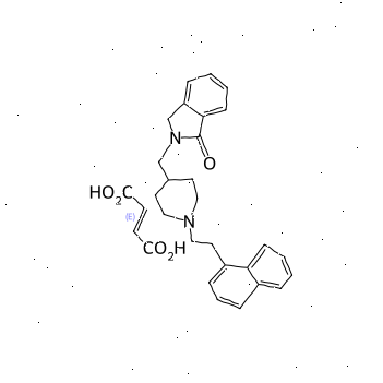 O=C(O)/C=C/C(=O)O.O=C1c2ccccc2CN1CC1CCN(CCc2cccc3ccccc23)CC1